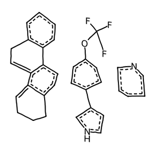 C1=c2c(ccc3c2=CCc2ccccc2-3)CCC1.FC(F)(F)Oc1ccc(-c2cc[nH]c2)cc1.c1ccncc1